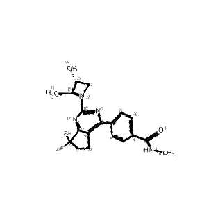 CNC(=O)c1ccc(-c2nc(N3C[C@@H](O)[C@@H]3C)nc3c2CCC3(F)F)cc1